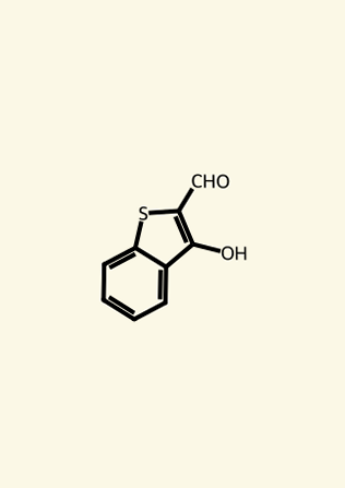 O=Cc1sc2ccccc2c1O